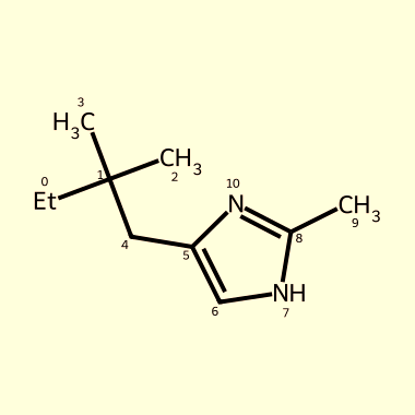 CCC(C)(C)Cc1c[nH]c(C)n1